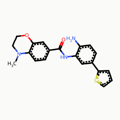 CN1CCOc2cc(C(=O)Nc3cc(-c4cccs4)ccc3N)ccc21